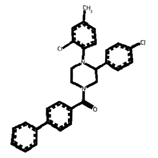 Cc1ccc(N2CCN(C(=O)c3ccc(-c4ccccc4)cc3)CC2c2ccc(Cl)cc2)c(Cl)c1